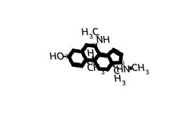 CN[C@H]1CC2C[C@@H](O)C=C[C@]2(C)[C@H]2CC[C@@]3(C)C(=C12)C=C[C@@H]3NC